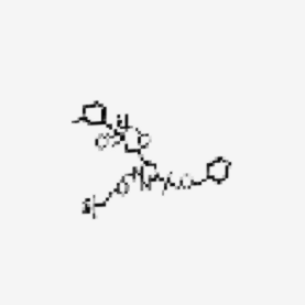 Cc1cccc(S(=O)(=O)C2(C)CCOC(c3cc(C(C)(C)COCc4ccccc4)nn3COCC[Si](C)(C)C)C2)c1